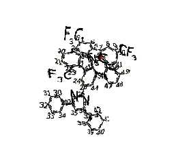 FC(F)(F)c1ccc2c(c1)c1cc(C(F)(F)F)ccc1n2-c1c(-c2ccccc2C(F)(F)F)cc(-c2nc(-c3ccccc3)cc(-c3ccccc3)n2)cc1-c1ccccc1C(F)(F)F